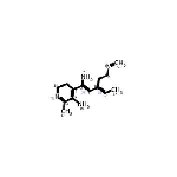 C=NCCC(/C=C(\N)C1=C(N)C(C)=NCC1)=C\C